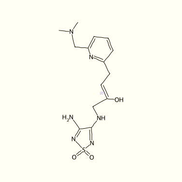 CN(C)Cc1cccc(C/C=C(\O)CNC2=NS(=O)(=O)N=C2N)n1